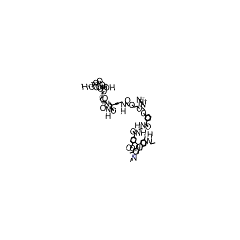 CC/N=C1/C=C2Cc3cc(NCC)c(C)cc3C(c3cc(C(=O)NCCNC(=O)c4cccc(OCC(N=[N+]=[N-])OCCOCC(=O)NCC#Cc5cn([C@H]6CC[C@@H](COP(=O)(O)OP(=O)(O)OP(C)(=O)O)O6)c(=O)[nH]c5=O)c4)ccc3C(=O)O)=C2C=C1C